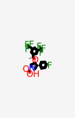 C[C@@H](O[C@H]1CN(C(=O)O)C[C@@H]1c1ccc(F)cc1)c1cc(C(F)(F)F)cc(C(F)(F)F)c1